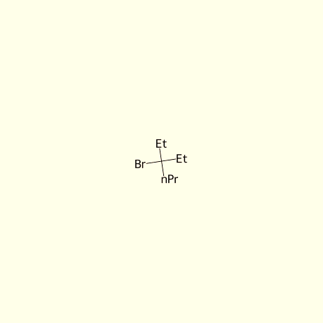 [CH2]CCC(Br)(CC)CC